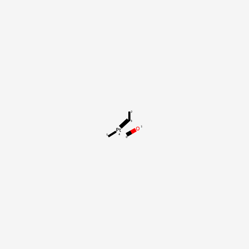 C=O.C[CH]=[Pt][CH3]